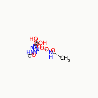 CCCCCCCC(=O)NCCOCCOCOC1C(O)[C@@H](CO)O[C@H]1n1cnc2c(NC(=O)c3ccccc3)ncnc21